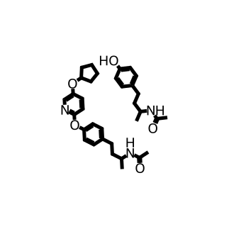 CC(=O)NC(C)CCc1ccc(O)cc1.CC(=O)NC(C)CCc1ccc(Oc2ccc(OC3CCCC3)cn2)cc1